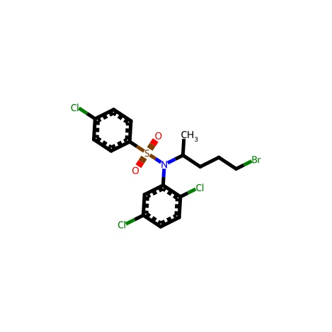 CC(CCCBr)N(c1cc(Cl)ccc1Cl)S(=O)(=O)c1ccc(Cl)cc1